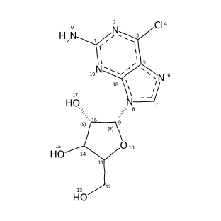 Nc1nc(Cl)c2ncn([C@@H]3OC(CO)C(O)[C@@H]3O)c2n1